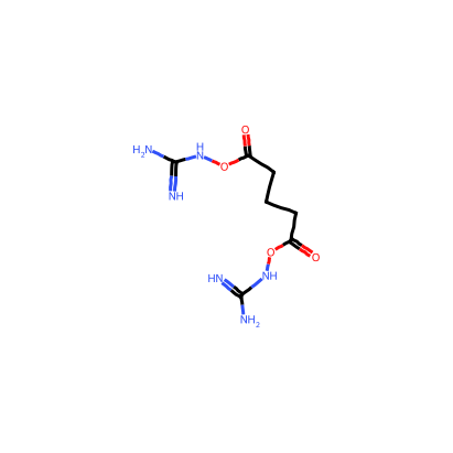 N=C(N)NOC(=O)CCCC(=O)ONC(=N)N